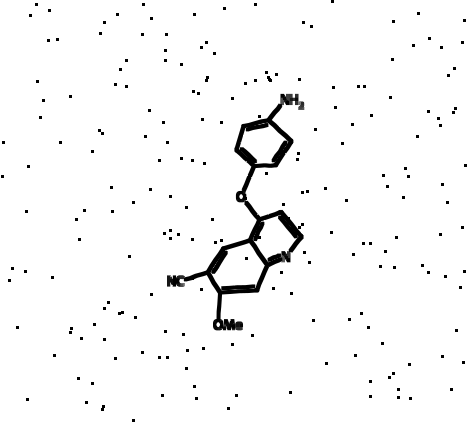 COc1cc2nccc(Oc3ccc(N)cc3)c2cc1C#N